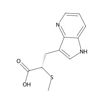 CS[C@@H](Cc1c[nH]c2cccnc12)C(=O)O